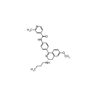 CCCCN[C@H]1Cc2cc(OC)ccc2C(c2ccc(NC(=O)c3ccnc(C)c3)cc2)=N1